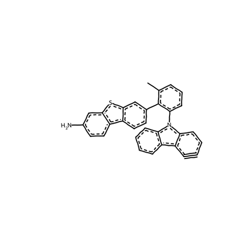 Cc1cccc(-n2c3ccc#cc3c3ccccc32)c1-c1ccc2c(c1)sc1cc(N)ccc12